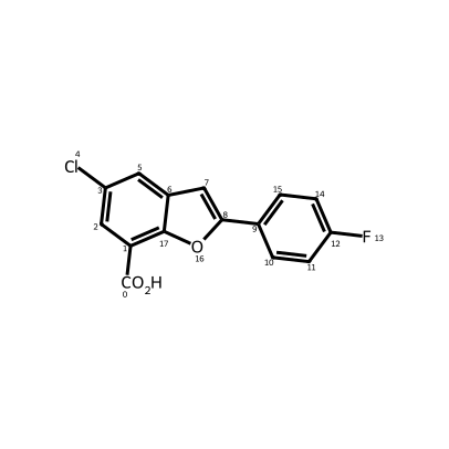 O=C(O)c1cc(Cl)cc2cc(-c3ccc(F)cc3)oc12